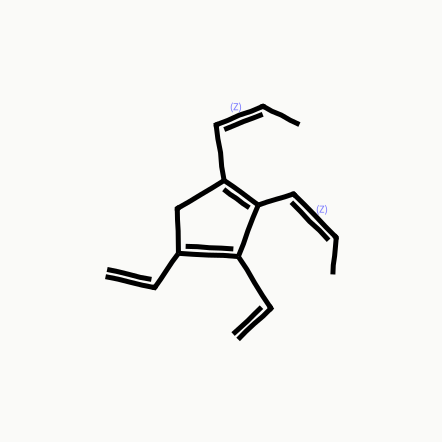 C=CC1=C(C=C)C(/C=C\C)=C(/C=C\C)C1